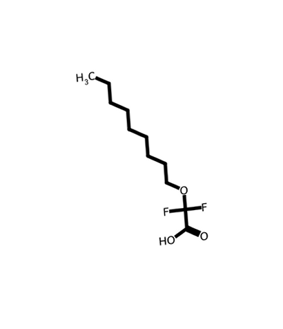 CCCCCCCCCOC(F)(F)C(=O)O